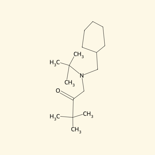 CC(C)(C)C(=O)CN(CC1CCCCC1)C(C)(C)C